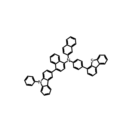 c1ccc(-n2c3ccccc3c3cc(-c4ccc(N(c5ccc(-c6cccc7c6sc6ccccc67)cc5)c5ccc6ccccc6c5)c5ccccc45)ccc32)cc1